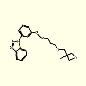 CC1(COCCCCOc2cccc(-n3nnc4ccccc43)c2)COC1